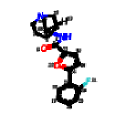 O=C(N[C@H]1CN2CCC1CC2)c1ccc(-c2ccccc2F)o1